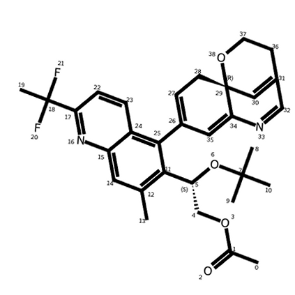 CC(=O)OC[C@@H](OC(C)(C)C)c1c(C)cc2nc(C(C)(F)F)ccc2c1C1=CC[C@@]23C=C(C=NC2=C1)CCO3